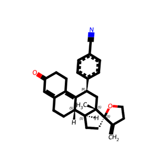 C=C1CCO[C@@]12CC[C@H]1[C@@H]3CCC4=CC(=O)CCC4=C3[C@@H](c3ccc(C#N)cc3)C[C@@]12C